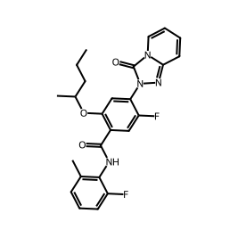 CCCC(C)Oc1cc(-n2nc3ccccn3c2=O)c(F)cc1C(=O)Nc1c(C)cccc1F